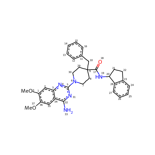 COc1cc2nc(N3CCC(Cc4ccccc4)(C(=O)NC4CCc5ccccc54)CC3)nc(N)c2cc1OC